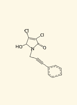 O=C1C(Cl)=C(Cl)C(O)N1CC#Cc1ccccc1